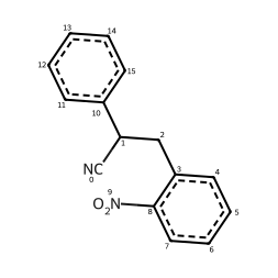 N#CC(Cc1ccccc1[N+](=O)[O-])c1ccccc1